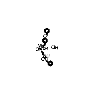 Cl.NC(=O)[C@@H](CCCNC(=O)OCc1ccccc1)NCCc1ccc(OCc2ccccc2)cc1